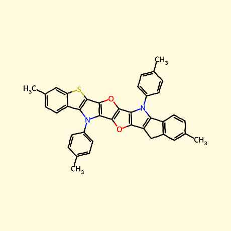 Cc1ccc(-n2c3c(c4oc5c(oc6c7sc8cc(C)ccc8c7n(-c7ccc(C)cc7)c56)c42)Cc2cc(C)ccc2-3)cc1